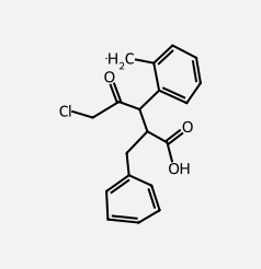 [CH2]c1ccccc1C(C(=O)CCl)C(Cc1ccccc1)C(=O)O